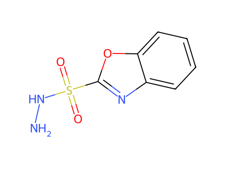 NNS(=O)(=O)c1nc2ccccc2o1